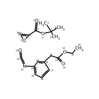 CC(C)(C)OC(=O)C1=NO1.CCOC(=O)Cc1cccc(N=C=O)c1